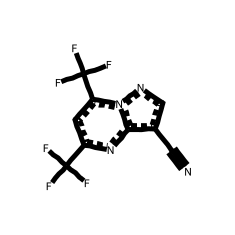 N#Cc1cnn2c(C(F)(F)F)cc(C(F)(F)F)nc12